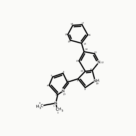 CN(C)c1cccc(-c2c[nH]c3ncc(-c4ccccc4)cc23)n1